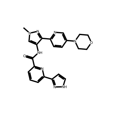 Cn1cc(NC(=O)c2cccc(-c3cc[nH]n3)n2)c(-c2ccc(N3CCOCC3)cn2)n1